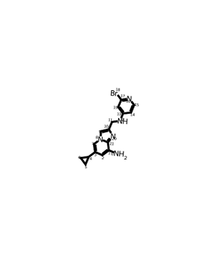 Nc1cc(C2CC2)cn2cc(CNc3ccnc(Br)c3)nc12